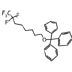 FC(F)(F)C(F)(F)CCCCCCOC(c1ccccc1)(c1ccccc1)c1ccccc1